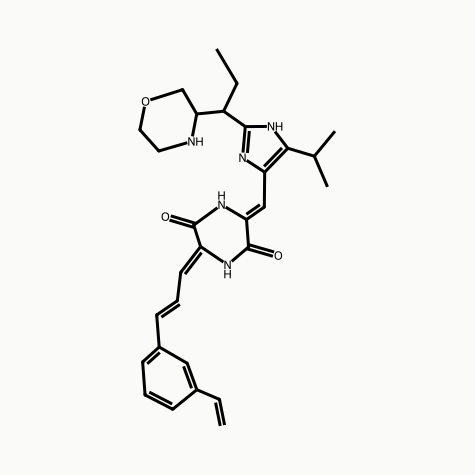 C=Cc1cccc(C=CC=c2[nH]c(=O)c(=Cc3nc(C(CC)C4COCCN4)[nH]c3C(C)C)[nH]c2=O)c1